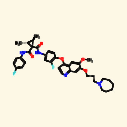 COc1cc2c(Oc3ccc(NC(=O)C4(C(=O)Nc5ccc(F)cc5)[C@H](C)[C@H]4C)cc3F)ccnc2cc1OCCCN1CCCCCC1